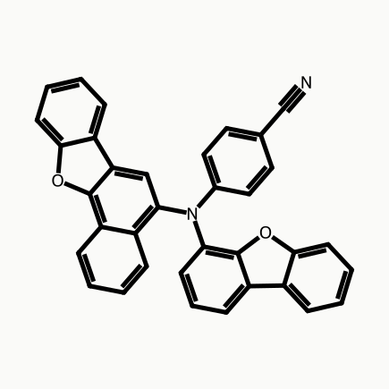 N#Cc1ccc(N(c2cc3c4ccccc4oc3c3ccccc23)c2cccc3c2oc2ccccc23)cc1